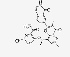 Cc1cc([C@@H](C)Oc2ccc(Cl)nc2C(N)=O)c2oc(-c3ccc4cc[nH]c(=O)c4c3)c(C)c(=O)c2c1